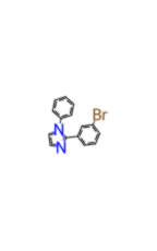 Brc1cccc(-c2nccn2-c2ccccc2)c1